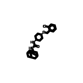 O=C(NC12CC3CC(CC(C3)C1)C2)N[C@H]1CC[C@@H](OCc2ccccc2Cl)CC1